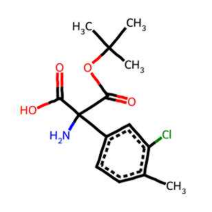 Cc1ccc(C(N)(C(=O)O)C(=O)OC(C)(C)C)cc1Cl